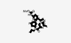 C=CCN(C(=O)c1cn2c(-c3ccc(NC(=O)OC)nc3)cnc2c(C)n1)c1cccc(F)c1